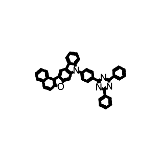 c1ccc(-c2nc(-c3ccccc3)nc(-c3ccc(-n4c5ccccc5c5cc6c(cc54)oc4ccc5ccccc5c46)cc3)n2)cc1